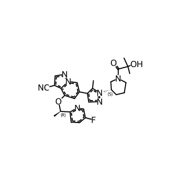 Cc1c(-c2cc(O[C@H](C)c3ccc(F)cn3)c3c(C#N)cnn3c2)cnn1[C@H]1CCCN(C(=O)C(C)(C)O)C1